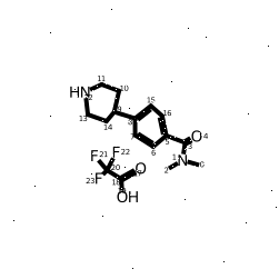 CN(C)C(=O)c1ccc(C2CCNCC2)cc1.O=C(O)C(F)(F)F